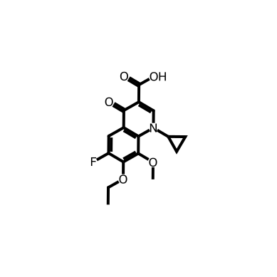 CCOc1c(F)cc2c(=O)c(C(=O)O)cn(C3CC3)c2c1OC